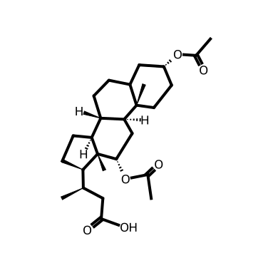 CC(=O)O[C@@H]1CC[C@@]2(C)C(CC[C@H]3[C@@H]4CC[C@H]([C@H](C)CC(=O)O)[C@@]4(C)[C@@H](OC(C)=O)C[C@@H]32)C1